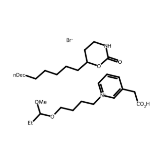 CCC(OC)OCCCC[n+]1cccc(CC(=O)O)c1.CCCCCCCCCCCCCCCC1CCNC(=O)O1.[Br-]